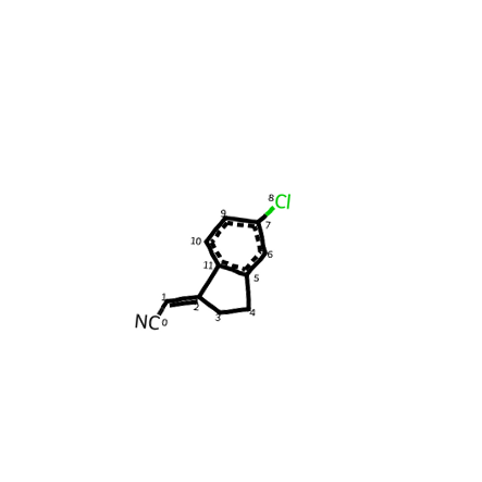 N#CC=C1CCc2cc(Cl)ccc21